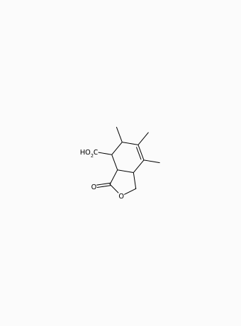 CC1=C(C)C2COC(=O)C2C(C(=O)O)C1C